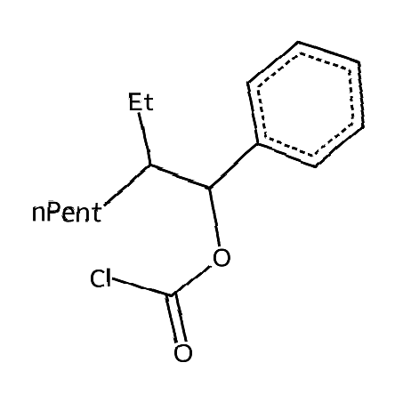 CCCCCC(CC)C(OC(=O)Cl)c1ccccc1